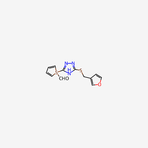 O=CS1(c2nnc(SCc3ccoc3)[nH]2)C=CC=C1